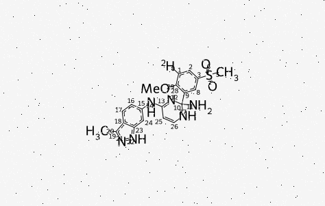 [2H]c1cc(S(C)(=O)=O)cc(C2(N)N=C(Nc3ccc4c(C)n[nH]c4c3)C=CN2)c1OC